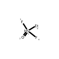 CC[SH](=O)(F)F